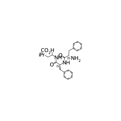 CC(C)CC(NC(=O)[C@H](Cc1ccccc1)NC(=O)[C@@H](N)Cc1ccccc1)C(=O)O